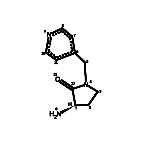 N[C@H]1CCN(Cc2ccncc2)C1=O